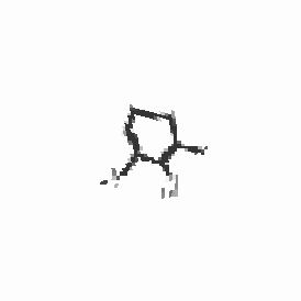 OC1=CC[CH]C(Cl)=C1Cl